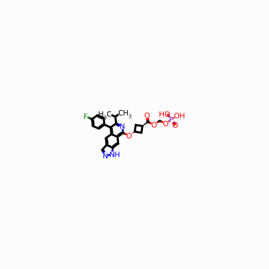 CC(C)c1nc(O[C@H]2C[C@H](C(=O)OCOP(=O)(O)O)C2)c2cc3[nH]ncc3cc2c1-c1ccc(F)cc1